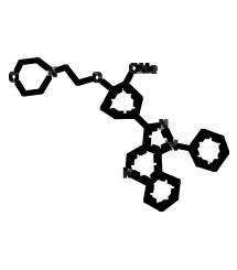 COc1cc(-c2nn(-c3ccccc3)c3c2cnc2ccccc23)ccc1OCCN1CCOCC1